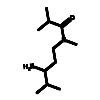 CC(C)C(=O)N(C)CCC(N)C(C)C